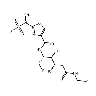 CC(C)CNC(=O)C[C@@H](O)[C@H](O)[C@H](CC(C)C)NC(=O)c1csc(N(C)S(C)(=O)=O)n1